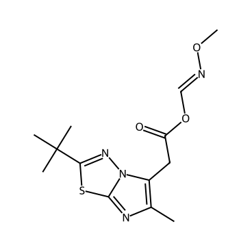 CON=COC(=O)Cc1c(C)nc2sc(C(C)(C)C)nn12